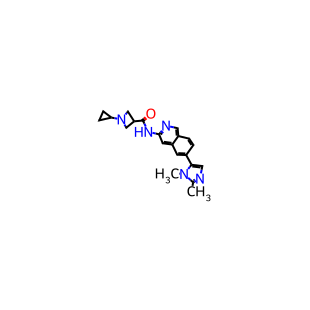 Cc1ncc(-c2ccc3cnc(NC(=O)C4CN(C5CC5)C4)cc3c2)n1C